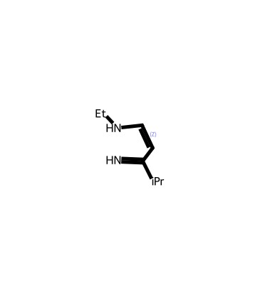 CCN/C=C\C(=N)C(C)C